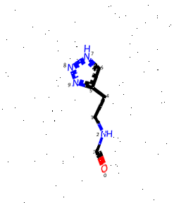 O=[C]NCCc1c[nH]nn1